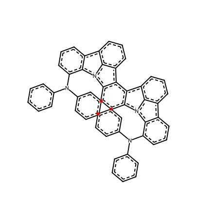 c1ccc(N(c2ccccc2)c2cccc3c4cccc5c6c7c8cccc9c%10cccc(N(c%11ccccc%11)c%11ccccc%11)c%10n(c7ccc6n(c23)c45)c98)cc1